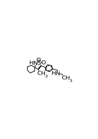 CCNCc1ccc(C2=C(C)C3(CCCCC3)NS2(=O)=O)cc1